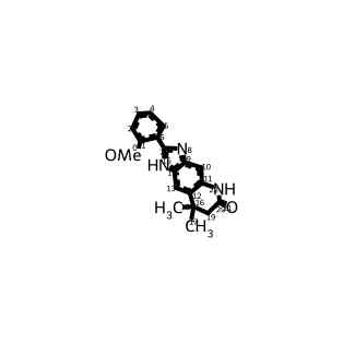 COc1ccccc1-c1nc2cc3c(cc2[nH]1)C(C)(C)CC(=O)N3